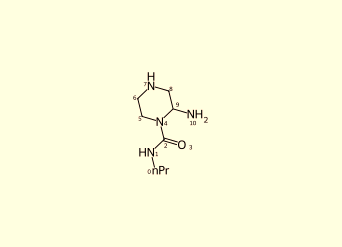 CCCNC(=O)N1CCNCC1N